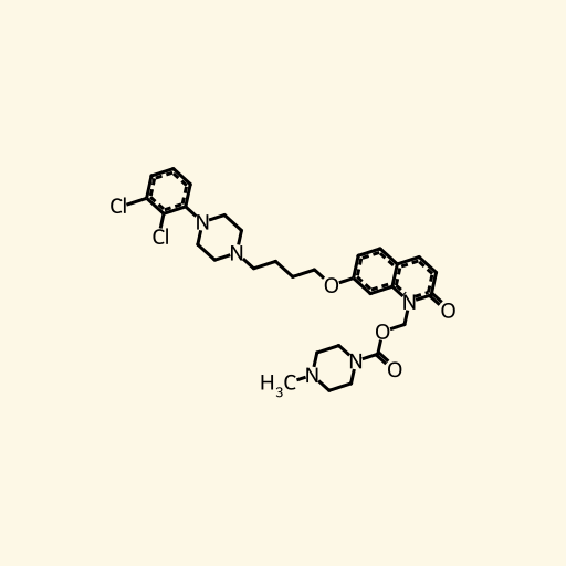 CN1CCN(C(=O)OCn2c(=O)ccc3ccc(OCCCCN4CCN(c5cccc(Cl)c5Cl)CC4)cc32)CC1